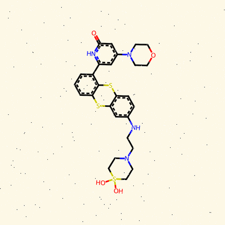 O=c1cc(N2CCOCC2)cc(-c2cccc3c2Sc2ccc(NCCN4CCS(O)(O)CC4)cc2S3)[nH]1